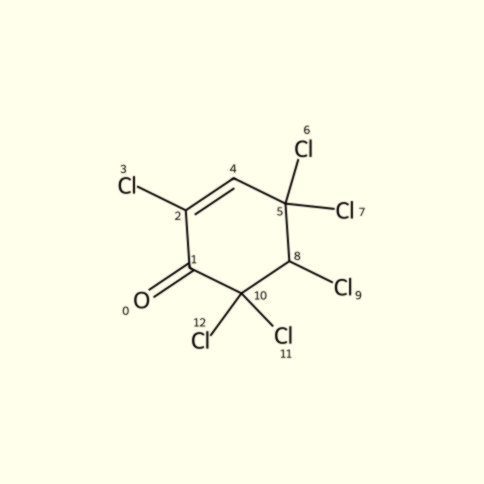 O=C1C(Cl)=CC(Cl)(Cl)C(Cl)C1(Cl)Cl